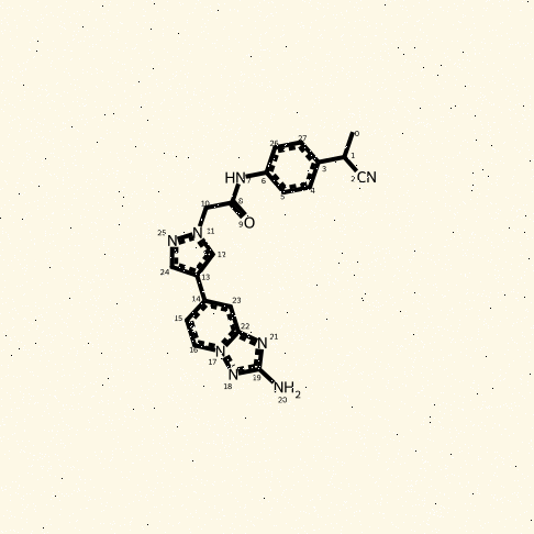 CC(C#N)c1ccc(NC(=O)Cn2cc(-c3ccn4nc(N)nc4c3)cn2)cc1